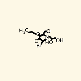 CCCCOc1c(C=O)n(CC(O)CO)cc(Br)c1=O